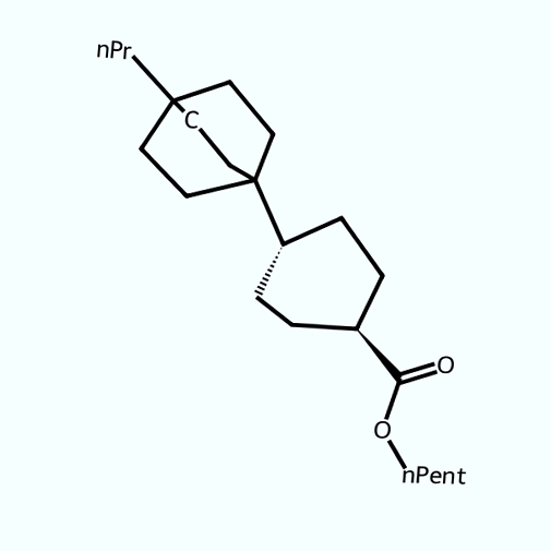 CCCCCOC(=O)[C@H]1CC[C@H](C23CCC(CCC)(CC2)CC3)CC1